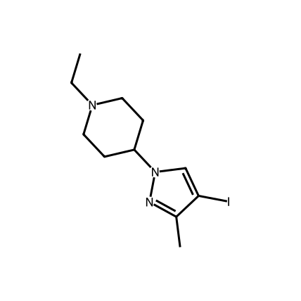 CCN1CCC(n2cc(I)c(C)n2)CC1